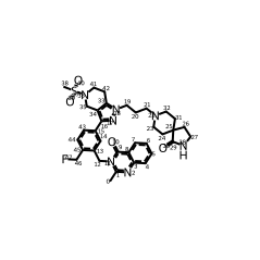 Cc1nc2ccccc2c(=O)n1Cc1cc(-c2nn(CCCN3CCC4(CCNC4=O)CC3)c3c2CN(S(C)(=O)=O)CC3)ccc1CF